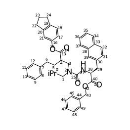 CC(C)CN(CC(CCc1ccccc1)C(=O)Oc1ccc2c(c1)CCC2)C(=O)N[C@@H](Cc1ccc2ccccc2c1)C(=O)OCc1ccccc1